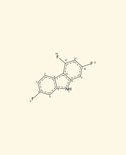 Fc1ccc2c(c1)[nH]c1cc(F)cc(F)c12